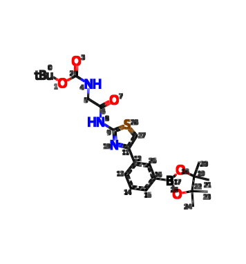 CC(C)(C)OC(=O)NCC(=O)Nc1nc(-c2cccc(B3OC(C)(C)C(C)(C)O3)c2)cs1